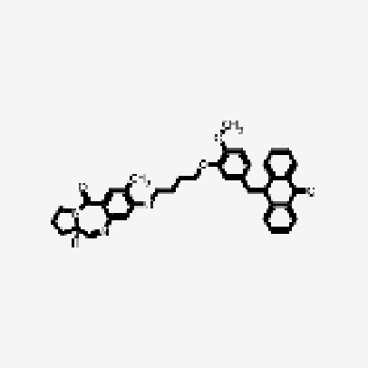 COc1ccc(C=C2c3ccccc3C(=O)c3ccccc32)cc1OCCCCOc1cc2c(cc1C)C(=O)N1CCC[C@H]1C=N2